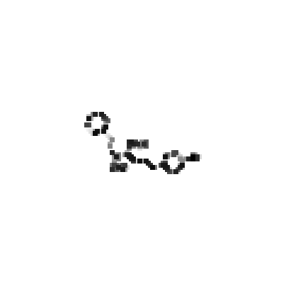 O=CN(OCc1ccccc1)/C(=C/CCc1ccc(Br)cc1)C(=O)O